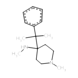 CNC1(C(C)(C)c2ccccc2)CCN(C)CC1